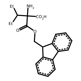 CCC(CC)C(N)(C(=O)O)C(=O)OCC1c2ccccc2-c2ccccc21